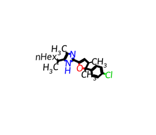 CCCCCCC(C)c1[nH]c(C2=C[C@@H](C)C(C)(c3ccc(Cl)cc3)O2)nc1C